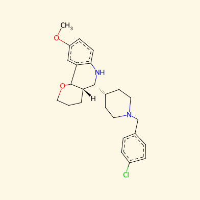 COc1ccc2c(c1)C1OCCC[C@H]1[C@@H](C1CCN(Cc3ccc(Cl)cc3)CC1)N2